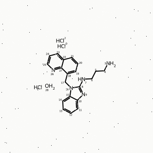 Cl.Cl.Cl.NCCCNc1nc2ccccc2n1Cc1cccc2cccnc12.O